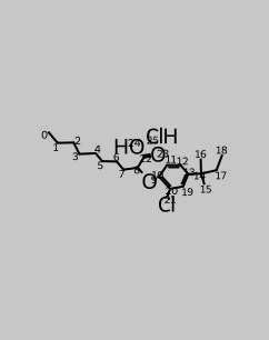 CCCCCCCCC(Oc1ccc(C(C)(C)CC)cc1Cl)C(=O)O.Cl